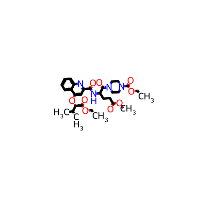 CCOC(=O)C(Oc1cc(C(=O)NC(CCC(=O)OC)C(=O)N2CCN(C(=O)OCC)CC2)nc2ccccc12)C(C)C